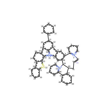 C1=C/[n+]2ccccc2-c2cc3c4cc(-c5ccccc5)cc5c6ccc7c8ccccc8sc7c6n(c3cc2C2C(C/1)c1ccccc1-c1cccc[n+]12)c45